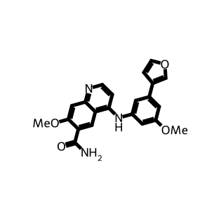 COc1cc(Nc2ccnc3cc(OC)c(C(N)=O)cc23)cc(-c2ccoc2)c1